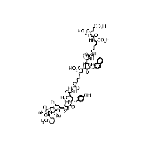 CCCC(=O)OCN(C(=O)[C@@H](NC(=O)[C@H]1CCCCN1C)C(C)CC)[C@H](CCc1nc(C(=O)N[C@@H](Cc2ccc(O)cc2)C[C@H](C)C(=O)NNC(=O)OCCSSC[C@H](NC(=O)[C@H](Cc2ccc3ccccc3c2)NC(=O)[C@H](CC(=O)O)NC(=O)NCCCC[C@H](NC(=O)N[C@@H](CCC(=O)O)C(=O)O)C(=O)O)C(=O)O)cs1)C(C)C